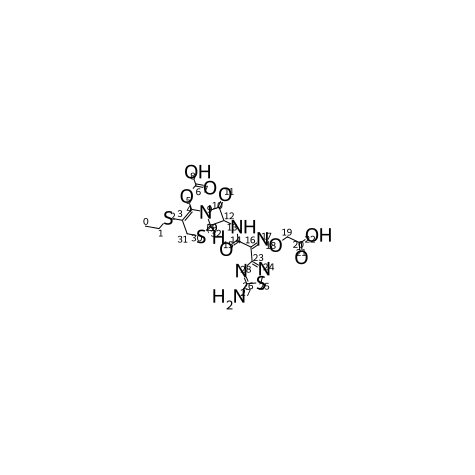 CCSC1=C(OC(=O)O)N2C(=O)C(NC(=O)C(=NOCC(=O)O)c3nsc(N)n3)[C@@H]2SC1